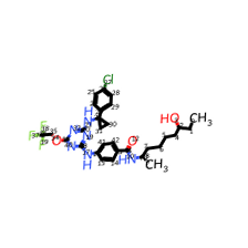 CCC(O)CCCC[C@@H](C)NC(=O)c1ccc(Nc2nc(NC3(c4ccc(Cl)cc4)CC3)nc(OCC(F)(F)F)n2)cc1